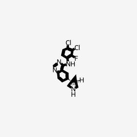 Fc1c(Nc2ncnc3ccc([C@@]45CNC[C@@H]4C5)cc23)ccc(Cl)c1Cl